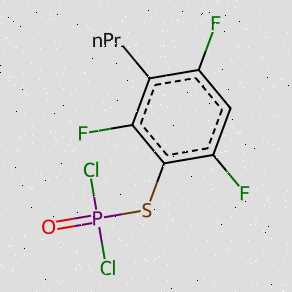 CCCc1c(F)cc(F)c(SP(=O)(Cl)Cl)c1F